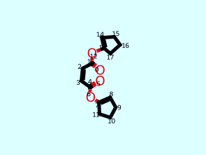 O=C(/C=C\C(=O)OC1=CCCC1)OC1=CCCC1